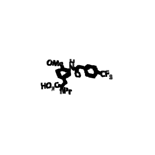 CCCC(Cc1ccc(OC)c(NC(=O)Cc2ccc(C(F)(F)F)cc2)c1)C(=O)O